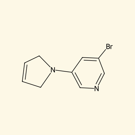 Brc1cncc(N2CC=CC2)c1